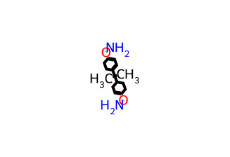 CC(C)(C1=CC=C(ON)CC1)C1CC=C(ON)CC1